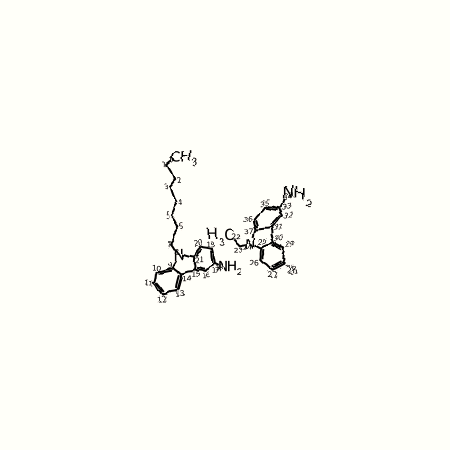 CCCCCCCCn1c2ccccc2c2cc(N)ccc21.CCn1c2ccccc2c2cc(N)ccc21